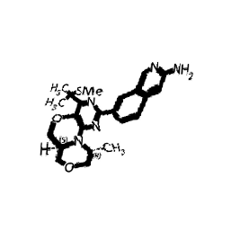 CSC(C)(C)c1nc(-c2ccc3cc(N)ncc3c2)nc2c1OC[C@@H]1COC[C@@H](C)N21